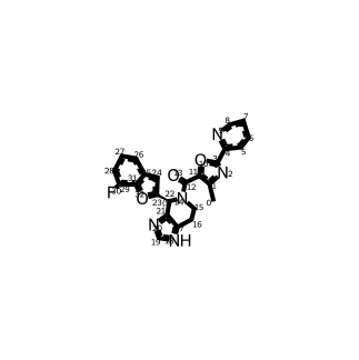 Cc1nc(-c2ccccn2)oc1C(=O)N1CCc2[nH]cnc2[C@H]1c1cc2cccc(F)c2o1